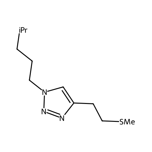 CSCCc1cn(CCCC(C)C)nn1